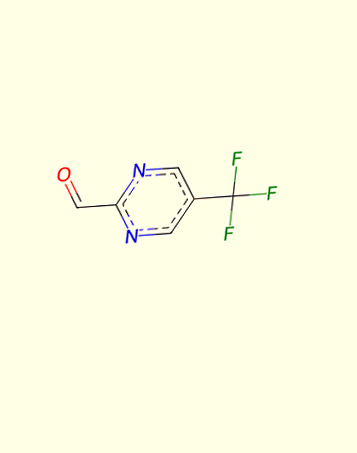 O=Cc1ncc(C(F)(F)F)cn1